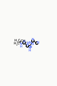 C=C(Nc1cncc(-c2ccc3[nH]nc(-c4nc5c(-c6cccnc6)cncc5[nH]4)c3n2)c1)C(C)C